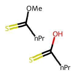 CCCC(=S)OC.CCCC(O)=S